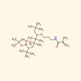 C=C(C)C(=O)NCCCOC(CC(C)(C)C)C(C)(C)C(C)(C)CC(C(=O)OC(C)(C)C)C(C)(C)C